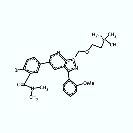 COc1ccccc1-c1nn(COCC[Si](C)(C)C)c2ncc(-c3ccc(Br)c(C(=O)N(C)C)c3)cc12